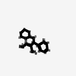 NC(=NO)C(OC1CCCCO1)c1ccccn1